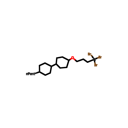 CCCCCC1CCC(C2CCC(OCCC[Si](Br)(Br)Br)CC2)CC1